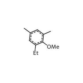 CCc1cc(C)cc(C)c1OC